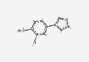 COc1ccc(-n2ccnc2)cc1Cl